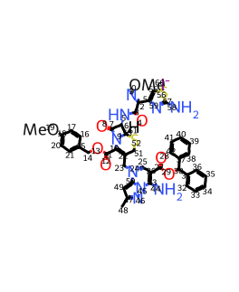 CON=C(C(=O)N[C@@H]1C(=O)N2C(C(=O)OCc3ccc(OC)cc3)=C(C[n+]3cc(C(=O)OC(c4ccccc4)c4ccccc4)c(N)n4nc(C)cc43)CS[C@@H]12)c1csc(N)n1.[I-]